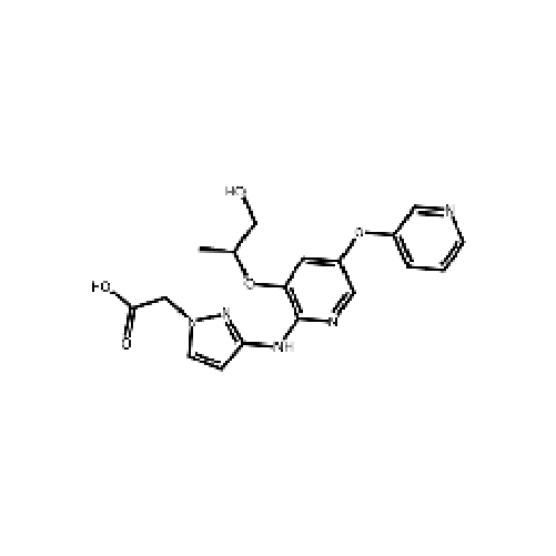 C[C@@H](CO)Oc1cc(Oc2cccnc2)cnc1Nc1ccn(CC(=O)O)n1